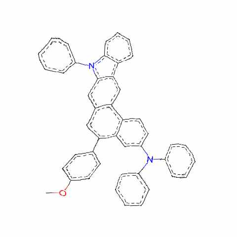 COc1ccc(-c2cc3cc4c(cc3c3ccc(N(c5ccccc5)c5ccccc5)cc23)c2ccccc2n4-c2ccccc2)cc1